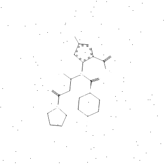 COC(=O)c1sc(C(C)(C)C)cc1N(C(=O)[C@H]1CC[C@H](C)CC1)C(C)CC(=O)N1CCCC1